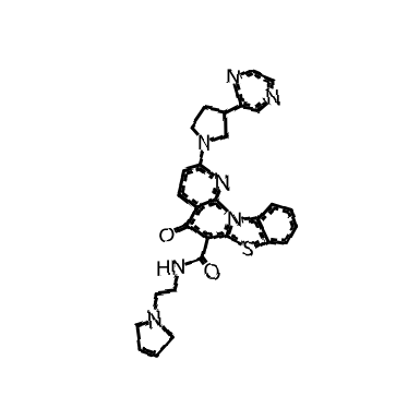 O=C(NCCN1CC=CC1)c1c(=O)c2ccc(N3CCC(c4cnccn4)C3)nc2n2c1sc1ccccc12